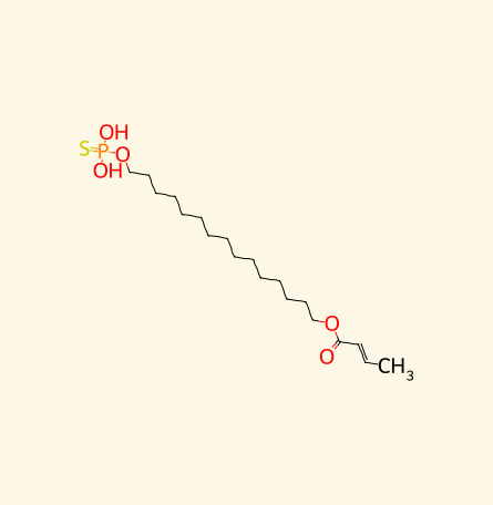 CC=CC(=O)OCCCCCCCCCCCCCCCOP(O)(O)=S